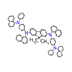 CC1(C)c2cc(N(c3ccc(N(c4ccccc4)c4cccc5ccccc45)cc3)c3cccc4ccccc34)ccc2-c2ccc(N(c3ccc(N(c4ccccc4)c4cccc5ccccc45)cc3)c3cccc4ccccc34)cc21